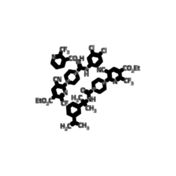 C=C(C)c1cccc(C(C)(C)NC(=O)N2CCN(c3nc(C(F)(F)F)c(C(=O)OCC)cc3C#N)CC2)c1.CCOC(=O)c1cc(C#N)c(N2CCN(C(=O)Nc3ccc(Cl)c(Cl)c3)CC2)nc1C(F)(F)F.O=C(O)c1cccnc1C(F)(F)F